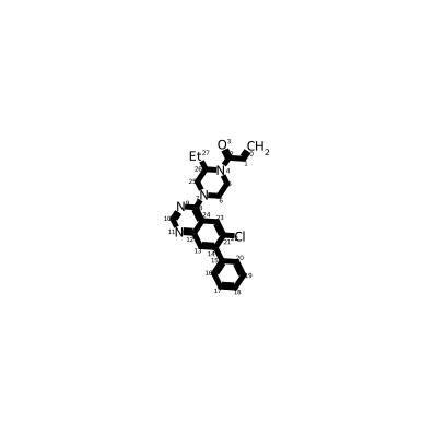 C=CC(=O)N1CCN(c2ncnc3cc(-c4ccccc4)c(Cl)cc23)CC1CC